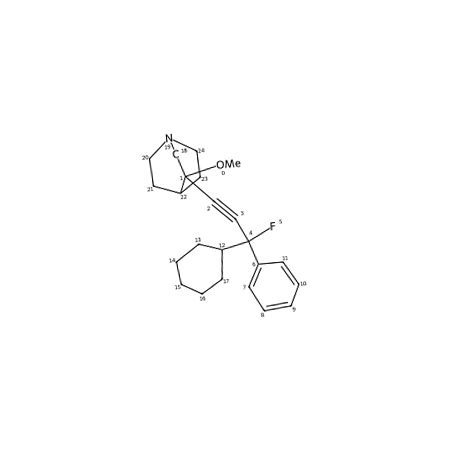 COC1(C#CC(F)(c2ccccc2)C2CCCCC2)CN2CCC1CC2